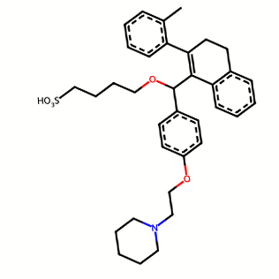 Cc1ccccc1C1=C(C(OCCCCS(=O)(=O)O)c2ccc(OCCN3CCCCC3)cc2)c2ccccc2CC1